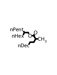 CCCCCCCCCCCCC(C)C(=O)OCC(CCCCC)CCCCCC